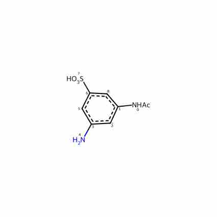 CC(=O)Nc1[c]c(N)cc(S(=O)(=O)O)c1